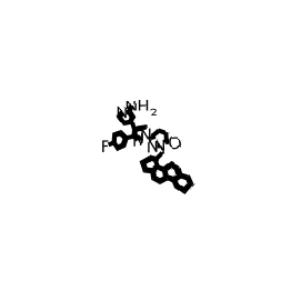 Nc1cc(-c2cn(C3=NN(Cc4cccc5ccc6c7ccccc7ccc6c45)C(=O)CC3)nc2-c2ccc(F)cc2)ccn1